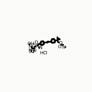 CN(C)CC(=O)OCC1(c2ccc(C#Cc3ccc4c(=O)n(CC[C@](C)(C(=O)NO)S(C)(=O)=O)cnc4c3)cc2)CC1.Cl